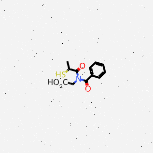 CC(S)C(=O)N(CC(=O)O)C(=O)c1ccccc1